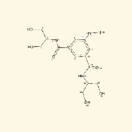 O=C(NC(CO)CO)c1cc(NI)cc(C(=O)NC(CO)CO)c1